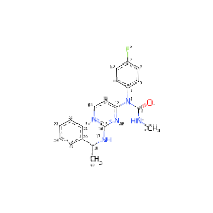 CNC(=O)N(c1ccc(F)cc1)c1ccnc(NC(C)c2ccccc2)n1